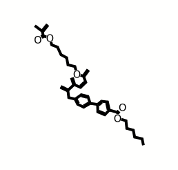 C=C(/C=C\C(=C)C(=C)Cc1ccc(-c2ccc(C(=O)OCCCCCC)cc2)cc1)OCCCCCCOC(=O)C(=C)C